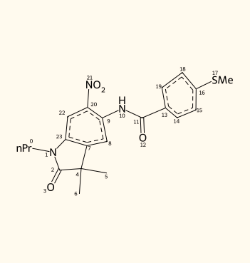 CCCN1C(=O)C(C)(C)c2cc(NC(=O)c3ccc(SC)cc3)c([N+](=O)[O-])cc21